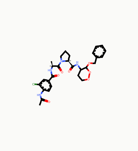 CC(=O)Nc1ccc(C(=O)N[C@@H](C)C(=O)N2CCC[C@H]2C(=O)NC2CCOOC2OCc2ccccc2)cc1Cl